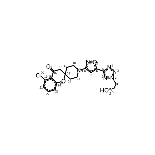 O=C(O)Cn1nnc(-c2cc(N3CCC4(CC3)CC(=O)c3c(Cl)cccc3O4)no2)n1